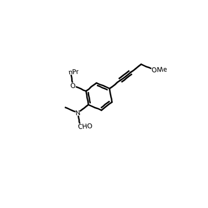 CCCOc1cc(C#CCOC)ccc1N(C)C=O